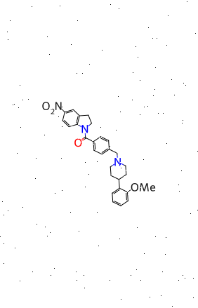 COc1ccccc1C1CCN(Cc2ccc(C(=O)N3CCc4cc([N+](=O)[O-])ccc43)cc2)CC1